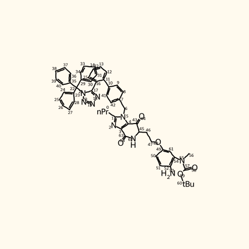 CCCc1nc2c(n1Cc1ccc(-c3ccccc3-c3nnnn3C(c3ccccc3)(c3ccccc3)c3ccccc3)cc1)C(=O)C(CCOc1ccc(N)c(N(C)C(=O)OC(C)(C)C)c1)NC2=O